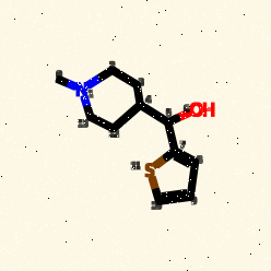 CN1CCC(C(O)c2cccs2)CC1